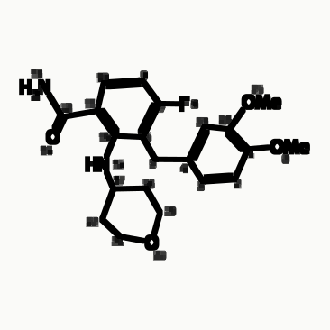 COc1ccc(Cc2c(F)ccc(C(N)=O)c2NC2CCOCC2)cc1OC